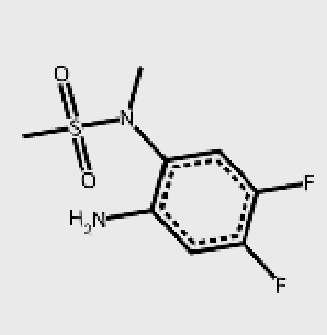 CN(c1cc(F)c(F)cc1N)S(C)(=O)=O